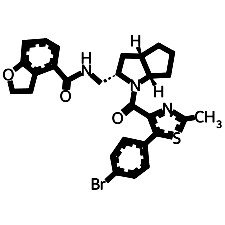 Cc1nc(C(=O)N2[C@H](CNC(=O)c3cccc4c3CCO4)C[C@@H]3CCC[C@@H]32)c(-c2ccc(Br)cc2)s1